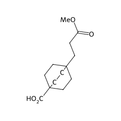 COC(=O)CCC12CCC(C(=O)O)(CC1)CC2